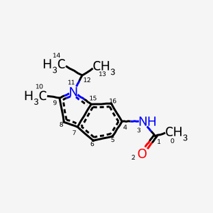 CC(=O)Nc1ccc2cc(C)n(C(C)C)c2c1